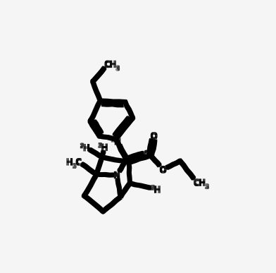 [2H]C1C2CCC(C)(N2C(=O)c2ccc(CC)cc2)C([2H])([2H])C1([2H])C(=O)OCC